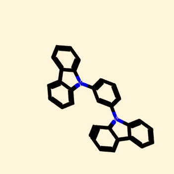 C1#CC2C(C=C1)c1ccccc1N2c1cccc(-n2c3ccccc3c3ccccc32)c1